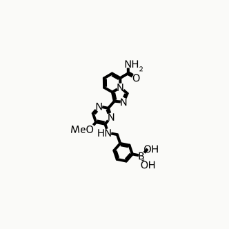 COc1cnc(-c2ncn3c(C(N)=O)cccc23)nc1NCc1cccc(B(O)O)c1